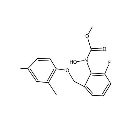 COC(=O)N(O)c1c(F)cccc1COc1ccc(C)cc1C